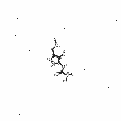 COCc1onc(OC(=O)N(C)C)c1Cl